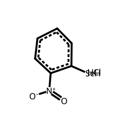 Cl.O=[N+]([O-])c1ccccc1[SeH]